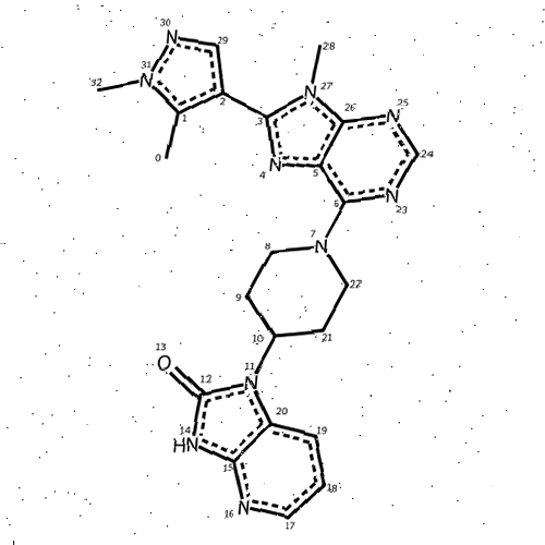 Cc1c(-c2nc3c(N4CCC(n5c(=O)[nH]c6ncccc65)CC4)ncnc3n2C)cnn1C